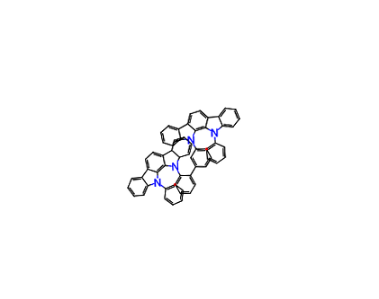 C1=CC2c3ccc4c5ccccc5n(-c5ccccc5)c4c3N(c3ccccc3-c3cccc(-n4c5ccccc5c5ccc6c7ccccc7n(-c7ccccc7)c6c54)c3)C2C=C1